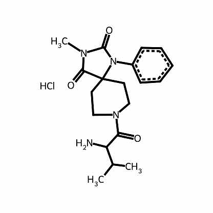 CC(C)C(N)C(=O)N1CCC2(CC1)C(=O)N(C)C(=O)N2c1ccccc1.Cl